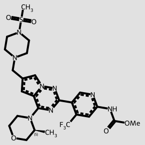 COC(=O)Nc1cc(C(F)(F)F)c(-c2nc(N3CCOC[C@@H]3C)c3cc(CN4CCN(S(C)(=O)=O)CC4)cn3n2)cn1